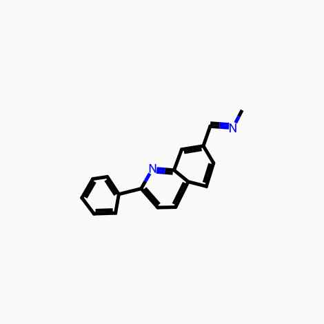 CN=Cc1ccc2ccc(-c3ccccc3)nc2c1